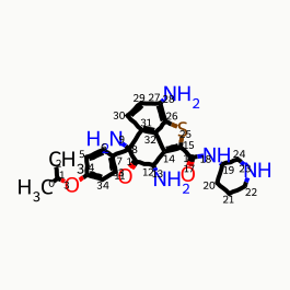 CC(C)Oc1ccc(C2(N)C(=O)C(N)c3c(C(=O)NC4CCCNC4)sc4c(N)ccc2c34)cc1